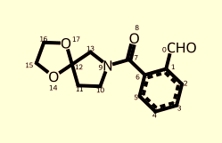 O=Cc1ccccc1C(=O)N1CCC2(C1)OCCO2